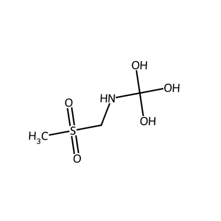 CS(=O)(=O)CNC(O)(O)O